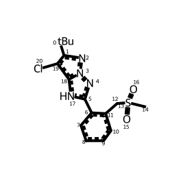 CC(C)(C)c1nn2nc(-c3ccccc3CS(C)(=O)=O)[nH]c2c1Cl